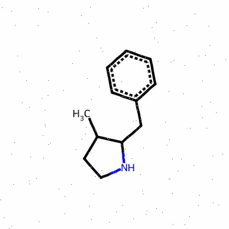 CC1CCNC1Cc1ccccc1